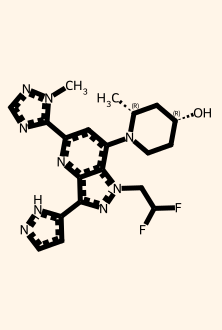 C[C@@H]1C[C@H](O)CCN1c1cc(-c2ncnn2C)nc2c(-c3ccn[nH]3)nn(CC(F)F)c12